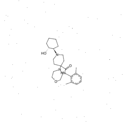 Cc1cccc(C)c1NC(=O)C1(N2CCOCC2)CCN([C@@H]2CCCC[C@H]2O)CC1